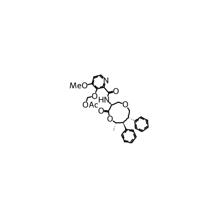 COc1ccnc(C(=O)N[C@H]2COC[C@H](c3ccccc3)[C@@H](c3ccccc3)[C@H](C)OC2=O)c1OCOC(C)=O